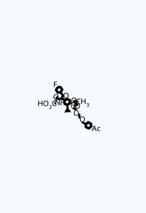 CC(=O)c1ccc(COCCOCCN(c2cc3oc(-c4ccc(F)cc4)c(C(=O)NC(=O)O)c3cc2C2CC2)S(C)(=O)=O)cc1